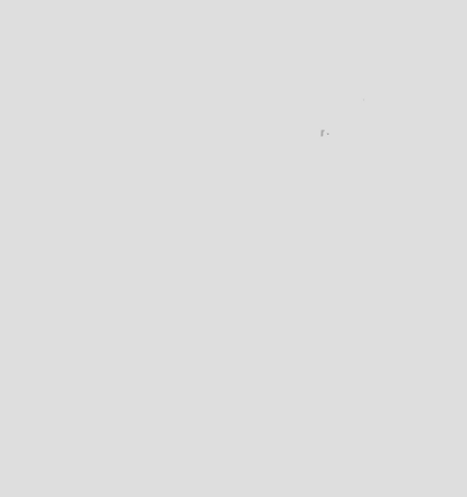 CCCCCCCCCCCCCCCNC[C](C)C